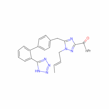 CC=CCn1nc(C(=O)CCC)nc1Cc1ccc(-c2ccccc2-c2nnn[nH]2)cc1